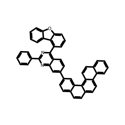 c1ccc(-c2nc(-c3cccc4oc5ccccc5c34)c3ccc(-c4ccc5ccc6ccc7c8ccccc8ccc7c6c5c4)cc3n2)cc1